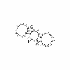 O=C1C2CCCCCCCCCC(C2)C2CC(F)CC3C(=O)C4CCCCCCCCCCC4C3CCCC12